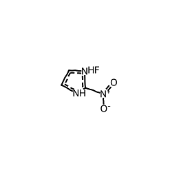 F.O=[N+]([O-])c1ncc[nH]1